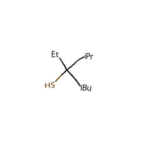 CCC(C)C(S)(CC)C(C)C